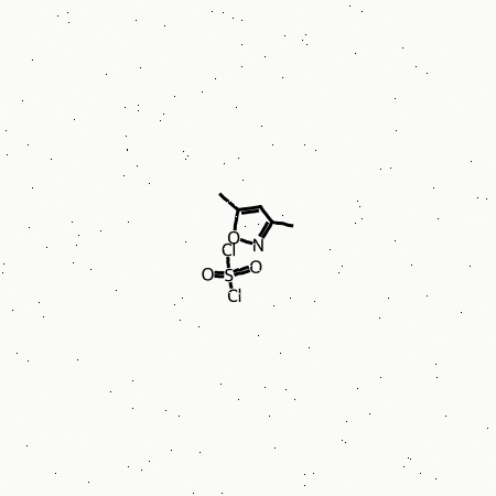 Cc1cc(C)on1.O=S(=O)(Cl)Cl